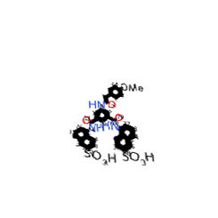 COc1ccc(CC(=O)Nc2cc(C(=O)Nc3cccc4cc(S(=O)(=O)O)ccc34)cc(C(=O)Nc3cccc4cc(S(=O)(=O)O)ccc34)c2)cc1